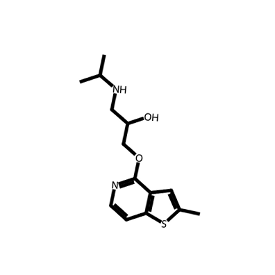 Cc1cc2c(OCC(O)CNC(C)C)nccc2s1